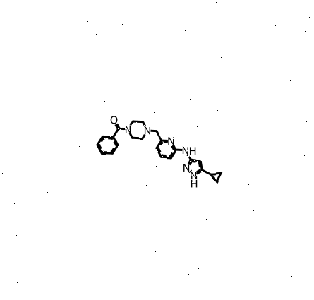 O=C(c1ccccc1)N1CCN(Cc2cccc(Nc3cc(C4CC4)[nH]n3)n2)CC1